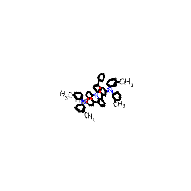 Cc1cccc(N(c2ccc(-c3cccc(-c4cccc(N(c5cccc(C)c5)c5cccc(C)c5)c4)c3N(c3ccc(-c4ccccc4)cc3)c3cccc(C)c3)cc2)c2cccc(C)c2)c1